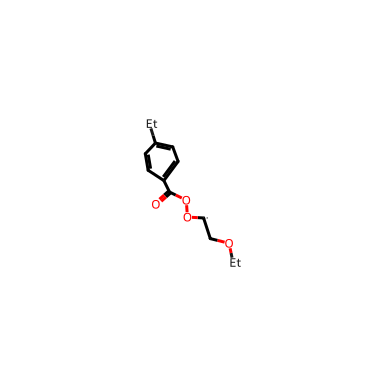 CCOC[CH]OOC(=O)c1ccc(CC)cc1